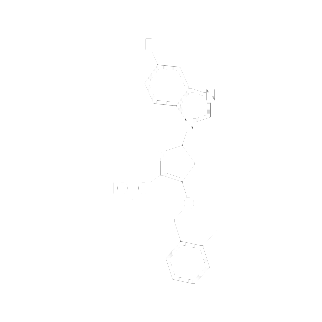 Cc1ccccc1COC1=C(C(=O)O)SC(n2cnc3cc(F)ccc32)C1